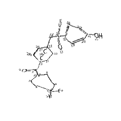 O=C(N1CCC(F)(F)CC1)C12CCC(CS(=O)(=O)c3ccc(O)cc3)(CC1)CC2